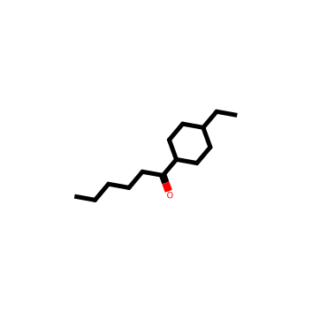 CCCCCC(=O)C1CCC(CC)CC1